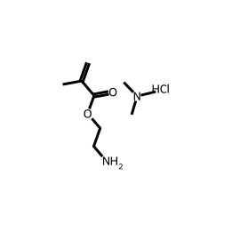 C=C(C)C(=O)OCCN.CN(C)C.Cl